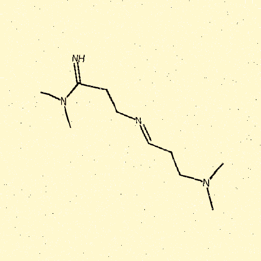 CN(C)CCC=NCCC(=N)N(C)C